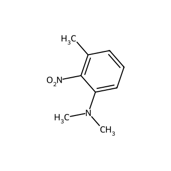 Cc1cccc(N(C)C)c1[N+](=O)[O-]